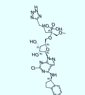 COC[C@](CCCc1nn[nH]n1)(OC[C@H]1O[C@@H](n2ncc3c(N[C@@H]4CCc5ccccc54)nc(Cl)nc32)[C@H](O)[C@@H]1O)P(=O)(O)O